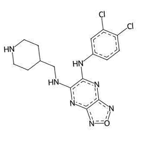 Clc1ccc(Nc2nc3nonc3nc2NCC2CCNCC2)cc1Cl